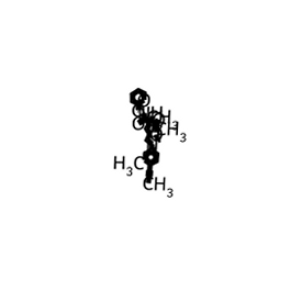 CC#Cc1ccc(N2COC(CC(C)(C(=O)NOC3CCCCO3)S(C)(=O)=O)C2)cc1C